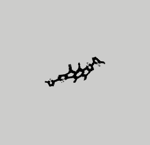 Cc1ccc(-c2cc3c(s2)-c2c(C)c4c(c(C)c2C3C)-c2sc(-c3ccc(C)s3)cc2C4C)s1